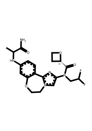 CC(Nc1ccc2c(c1)OCCn1cc(N(CC(F)F)C(=O)[C@@H]3CCO3)nc1-2)C(N)=O